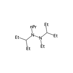 CCCN(C(CC)CC)N(CC)C(CC)CC